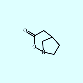 O=C1CC2CCN(C2)O1